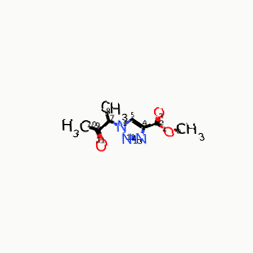 COC(=O)c1cn(C(C)C(C)=O)nn1